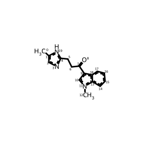 Cc1cnc(CCC(=O)c2cn(C)c3ccccc23)[nH]1